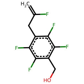 C=C(F)Cc1c(F)c(F)c(CO)c(F)c1F